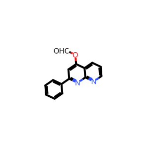 O=COc1cc(-c2ccccc2)nc2ncccc12